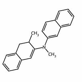 CC1Cc2ccccc2C=C1N(C)c1ccc2ccccc2c1